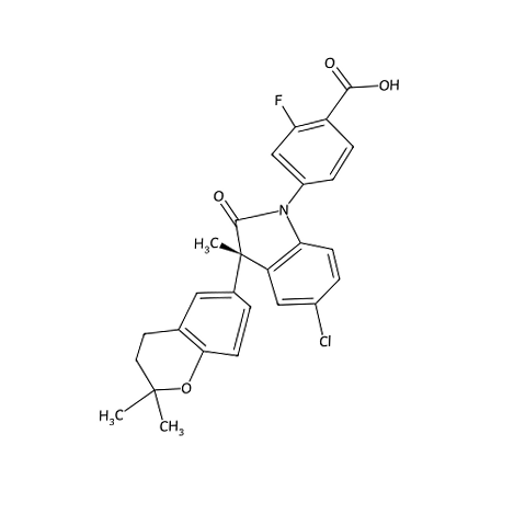 CC1(C)CCc2cc([C@]3(C)C(=O)N(c4ccc(C(=O)O)c(F)c4)c4ccc(Cl)cc43)ccc2O1